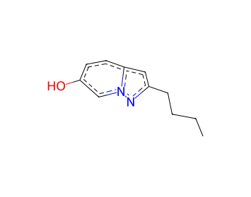 CCCCc1cc2ccc(O)cn2n1